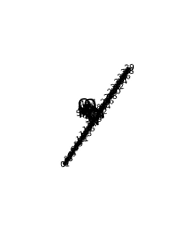 CCCCCCCCCCCCCCCC/C=C/N1CCN(/C=C/CCCCCCCCCCCCCCCC)CCN(C(C(=O)[O-])[N+](C)(C)C)CC1